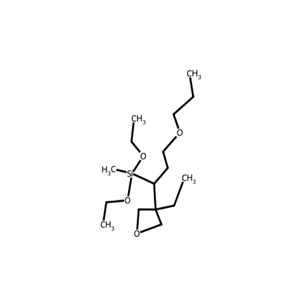 CCCOCCC(C1(CC)COC1)[Si](C)(OCC)OCC